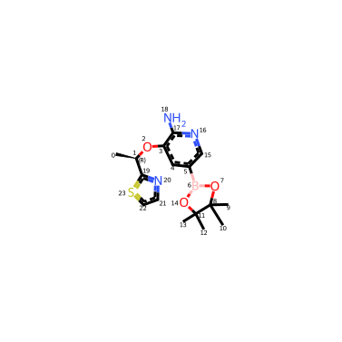 C[C@@H](Oc1cc(B2OC(C)(C)C(C)(C)O2)cnc1N)c1nccs1